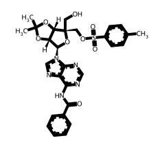 Cc1ccc(S(=O)(=O)OC[C@@]2(CO)O[C@@H](n3cnc4c(NC(=O)c5ccccc5)ncnc43)[C@@H]3OC(C)(C)O[C@@H]32)cc1